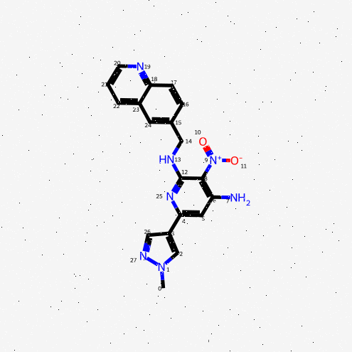 Cn1cc(-c2cc(N)c([N+](=O)[O-])c(NCc3ccc4ncccc4c3)n2)cn1